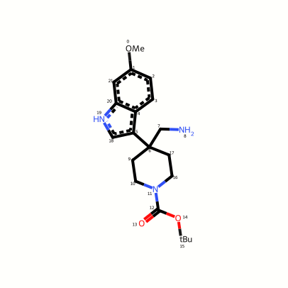 COc1ccc2c(C3(CN)CCN(C(=O)OC(C)(C)C)CC3)c[nH]c2c1